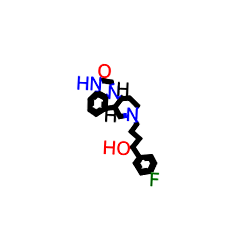 O=C1CN2c3c(cccc3[C@@H]3CN(CCC[C@H](O)c4ccc(F)cc4)CC[C@@H]32)N1